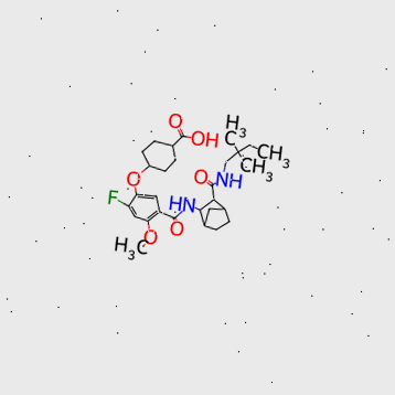 CCC(C)(C)CNC(=O)C1C2CCC(C2)C1NC(=O)c1cc(OC2CCC(C(=O)O)CC2)c(F)cc1OC